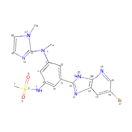 CN(c1cc(NS(C)(=O)=O)cc(-c2nc3cc(Br)cnc3[nH]2)c1)c1nccn1C